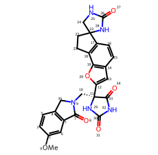 COc1ccc2c(c1)C(=O)N(C[C@@]1(c3cc4ccc5c(c4o3)CCC53CNC(=O)N3)NC(=O)NC1=O)C2